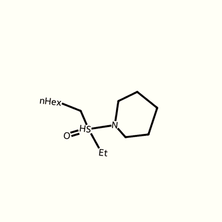 CCCCCCC[SH](=O)(CC)N1CCCCC1